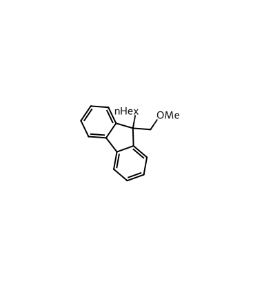 CCCCCCC1(COC)c2ccccc2-c2ccccc21